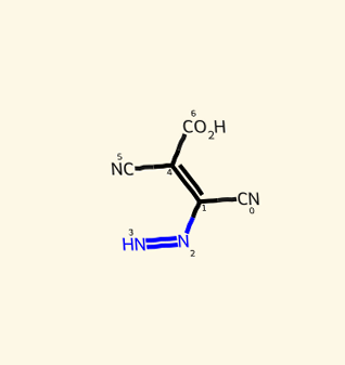 N#CC(N=N)=C(C#N)C(=O)O